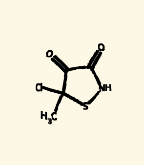 CC1(Cl)SNC(=O)C1=O